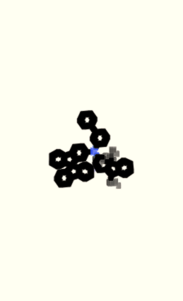 CC1=C(/C=C\C(C)N(c2cccc(-c3ccccc3)c2)c2ccc3c(c2)C2(c4ccccc4-c4ccccc42)c2ccccc2-3)C(C)(C)c2ccccc21